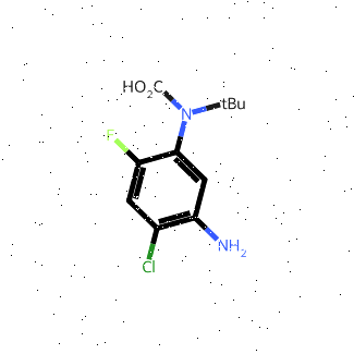 CC(C)(C)N(C(=O)O)c1cc(N)c(Cl)cc1F